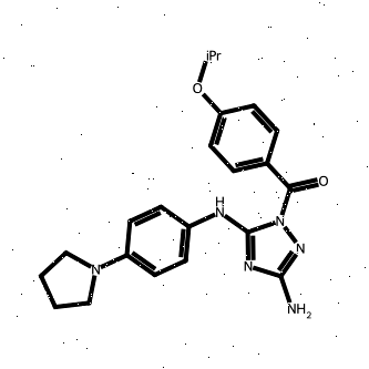 CC(C)Oc1ccc(C(=O)n2nc(N)nc2Nc2ccc(N3CCCC3)cc2)cc1